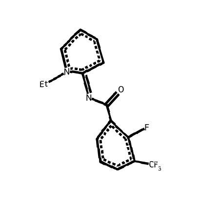 CCn1cccc/c1=N\C(=O)c1cccc(C(F)(F)F)c1F